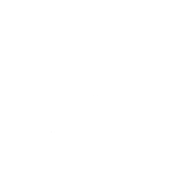 COc1cccc(C2Oc3ccccc3-c3cc[c]cc32)c1